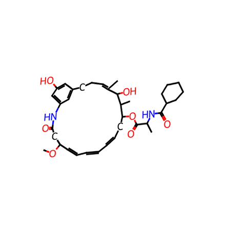 COC1\C=C/C=C/C=C\CC(OC(=O)C(C)NC(=O)C2CCCCC2)C(C)C(O)/C(C)=C\CCc2cc(O)cc(c2)NC(=O)C1